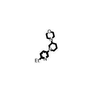 CCc1ccc(N2CCCC(N3CCOCC3)C2)cn1